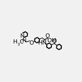 CN(CCOc1ccc(C[C@H](Nc2cccc(C(=O)c3ccccc3)c2)C(=O)O)cc1)c1ccccn1